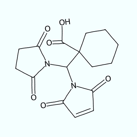 O=C1C=CC(=O)N1C(N1C(=O)CCC1=O)C1(C(=O)O)CCCCC1